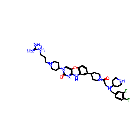 N=C(N)NCCCN1CCC(n2cc3c(nc2=O)Nc2cc(C4CCN(C(=O)CN(Cc5ccc(F)c(F)c5)C5CCNCC5)CC4)ccc2O3)CC1